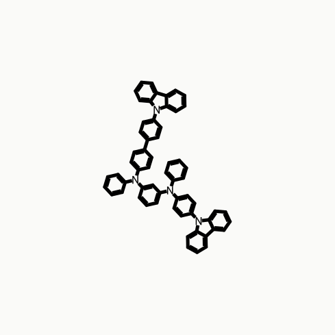 c1ccc(N(c2ccc(-c3ccc(-n4c5ccccc5c5ccccc54)cc3)cc2)c2cccc(N(c3ccccc3)c3ccc(-n4c5ccccc5c5ccccc54)cc3)c2)cc1